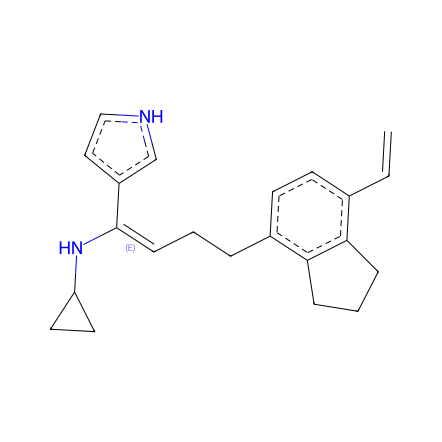 C=Cc1ccc(CC/C=C(/NC2CC2)c2cc[nH]c2)c2c1CCC2